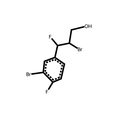 OCC(Br)C(F)c1ccc(F)c(Br)c1